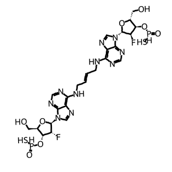 O=[PH](S)O[C@H]1[C@@H](F)[C@H](n2cnc3c(NC/C=C/CNc4ncnc5c4ncn5[C@@H]4O[C@H](CO)[C@@H](O[PH](=O)S)[C@H]4F)ncnc32)O[C@@H]1CO